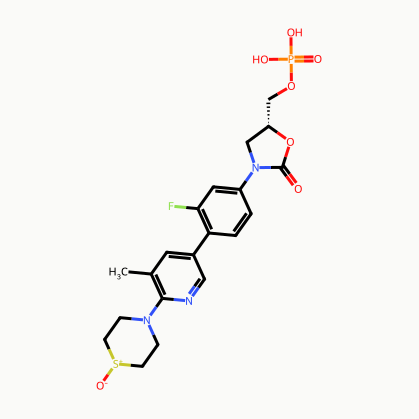 Cc1cc(-c2ccc(N3C[C@H](COP(=O)(O)O)OC3=O)cc2F)cnc1N1CC[S+]([O-])CC1